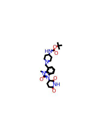 Cn1c(=O)n(C2CCC(=O)NC2=O)c2cccc(CN3CCC(NC(=O)OC(C)(C)C)CC3)c21